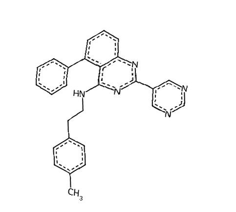 Cc1ccc(CCNc2nc(-c3cncnc3)nc3cccc(-c4ccccc4)c23)cc1